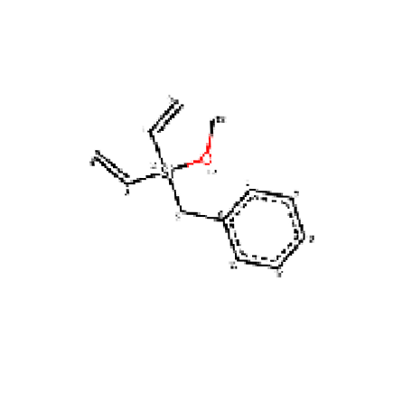 C=C[Si](C=C)(Cc1ccccc1)OC